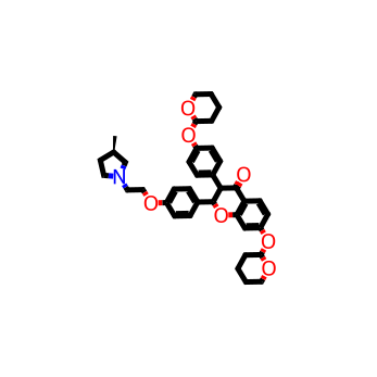 C[C@@H]1CCN(CCOc2ccc(C3Oc4cc(OC5CCCCO5)ccc4C(=O)C3c3ccc(OC4CCCCO4)cc3)cc2)C1